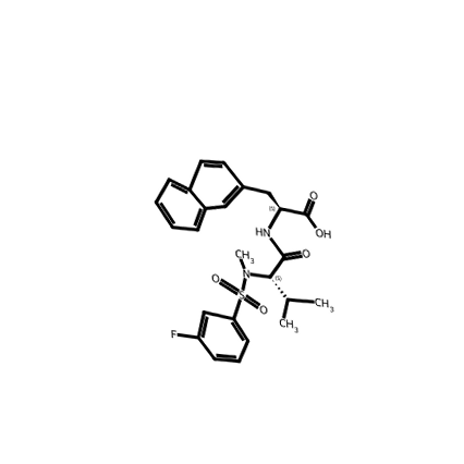 CC(C)[C@@H](C(=O)N[C@@H](Cc1ccc2ccccc2c1)C(=O)O)N(C)S(=O)(=O)c1cccc(F)c1